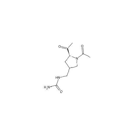 CC(=O)[C@@H]1CC(CNC(N)=O)CN1C(C)=O